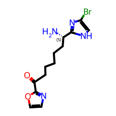 N[C@@H](CCCCCC(=O)c1ncco1)c1nc(Br)c[nH]1